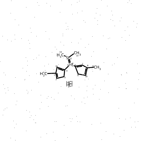 CC1=CC[C]([Hf]([C]2=CC(C)=CC2)=[Si](C)C)=C1.Cl.Cl